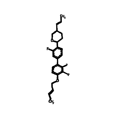 CCCCOc1ccc(-c2ccc(C3CCC(CCC)CO3)c(F)c2)c(F)c1F